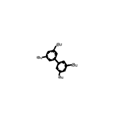 CCC(C)c1cc(-c2cc(C(C)CC)cc(C(C)CC)c2)cc(C(C)CC)c1